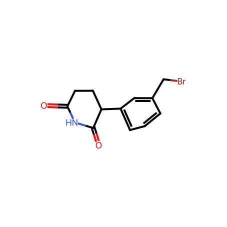 O=C1CCC(c2cccc(CBr)c2)C(=O)N1